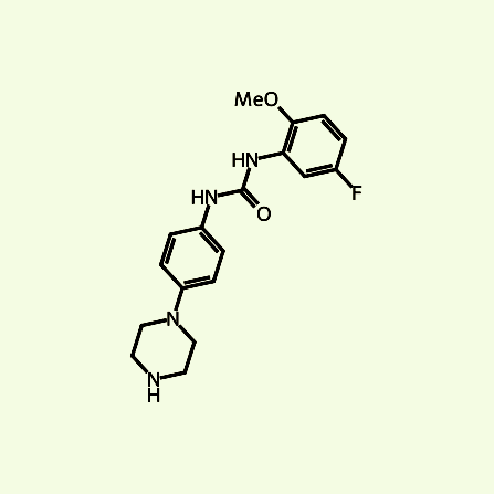 COc1ccc(F)cc1NC(=O)Nc1ccc(N2CCNCC2)cc1